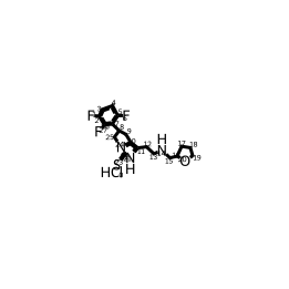 Cl.Fc1ccc(F)c(C2Cc3c(CCNCC4CCCO4)[nH]c(=S)n3C2)c1F